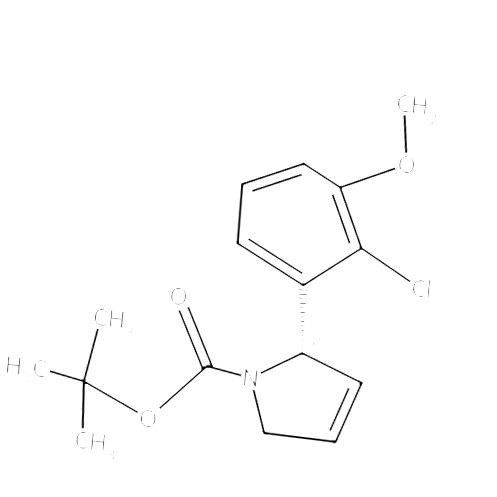 COc1cccc([C@@H]2C=CCN2C(=O)OC(C)(C)C)c1Cl